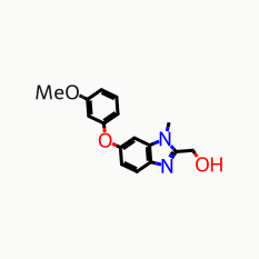 COc1cccc(Oc2ccc3nc(CO)n(C)c3c2)c1